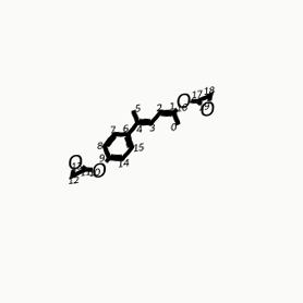 C/C(=C\C=C(/C)c1ccc(OC2CO2)cc1)OC1CO1